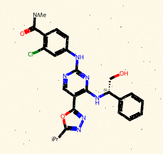 CNC(=O)c1ccc(Nc2ncc(-c3nnc(C(C)C)o3)c(N[C@H](CO)c3ccccc3)n2)cc1Cl